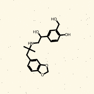 CC(C)(Cc1ccc2c(c1)OCO2)NCC(O)c1ccc(O)c(CO)c1